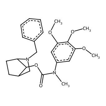 COc1cc(N(C)C(=O)OC2C3CCC2N(Cc2ccccc2)C3)cc(OC)c1OC